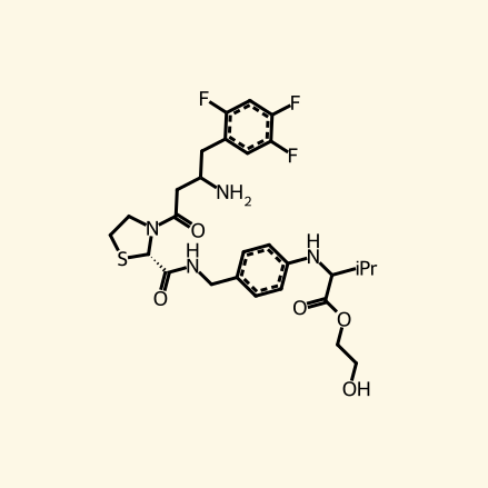 CC(C)C(Nc1ccc(CNC(=O)[C@@H]2SCCN2C(=O)CC(N)Cc2cc(F)c(F)cc2F)cc1)C(=O)OCCO